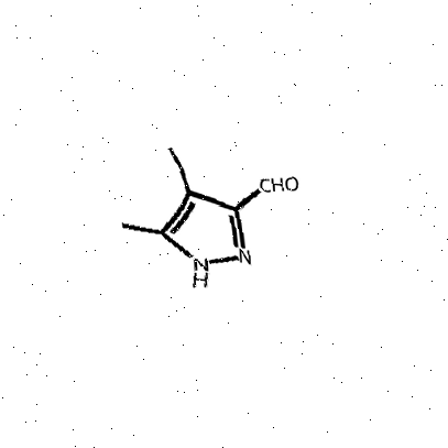 Cc1[nH]nc(C=O)c1C